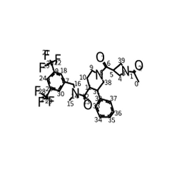 CC(=O)N1CC(C(=O)N2CCC(C(=O)N(C)Cc3cc(C(F)(F)F)cc(C(F)(F)F)c3)C(c3ccccc3)C2)C1